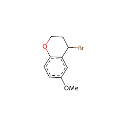 COc1ccc2c(c1)C(Br)CCO2